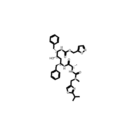 CC(C)c1nc(CN(C)C(=O)N[C@@H](C)C(=O)N[C@@H](Cc2ccccc2)C[C@H](O)[C@H](Cc2ccccc2)NC(=O)OCc2ccno2)co1